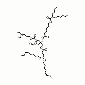 CC/C=C\CCCCOC(CCC(=O)OCC(COC=O)(COC(=O)CCCCCOC(=O)C(CCCC)CCCCCC)COC(=O)OCCCN(CC)CC)OCCCC/C=C\CC